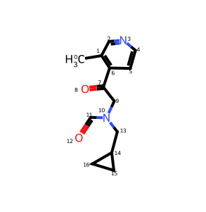 Cc1cnccc1C(=O)CN(C=O)CC1CC1